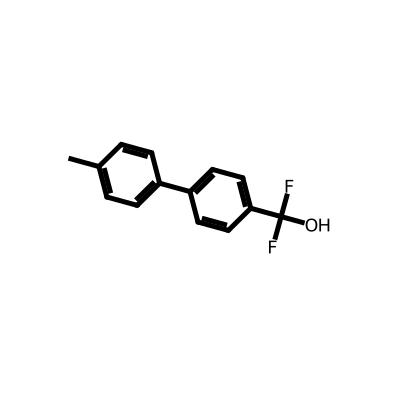 Cc1ccc(-c2ccc(C(O)(F)F)cc2)cc1